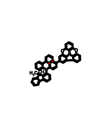 CC1(C)c2ccccc2-c2cccc(N(c3ccc(-c4cc5c6c(c4)c4cccc7c4n6-c4c(cccc4O5)O7)cc3)c3ccccc3-c3ccccc3)c21